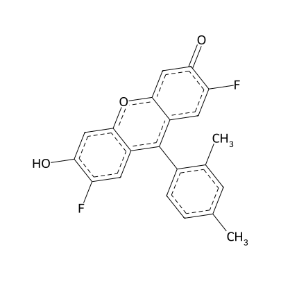 Cc1ccc(-c2c3cc(F)c(=O)cc-3oc3cc(O)c(F)cc23)c(C)c1